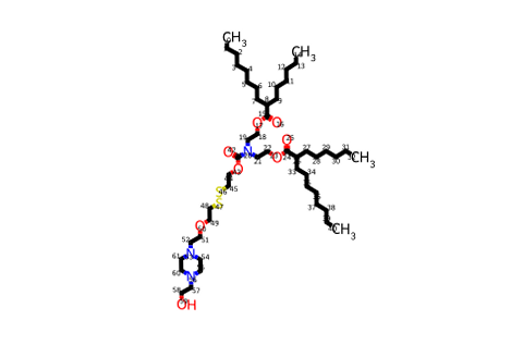 CCCCCCCCC(CCCCCC)C(=O)OCCN(CCOC(=O)C(CCCCCC)CCCCCCCC)C(=O)OCCSSCCOCCN1CCN(CCO)CC1